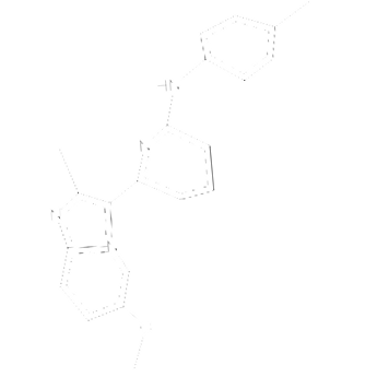 COc1ccc2nc(C)c(-c3cccc(Nc4ccc(C)cc4)n3)n2c1